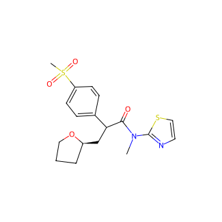 CN(C(=O)C(C[C@H]1CCCO1)c1ccc(S(C)(=O)=O)cc1)c1nccs1